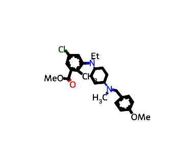 CCN(c1cc(Cl)cc(C(=O)OC)c1C)[C@H]1CC[C@H](N(C)Cc2ccc(OC)cc2)CC1